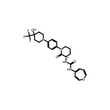 O=C(NC1=CC=COC=C1)N[C@@H]1CCCN(c2ccc(N3CCC(O)(C(F)(F)F)CC3)cc2)C1=O